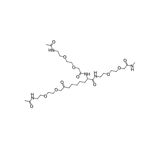 CNC(=O)COCCOCCNC(=O)C(CCCCCC(=O)COCCOCCNC(C)=O)NC(=O)COCCOCCNC(C)=O